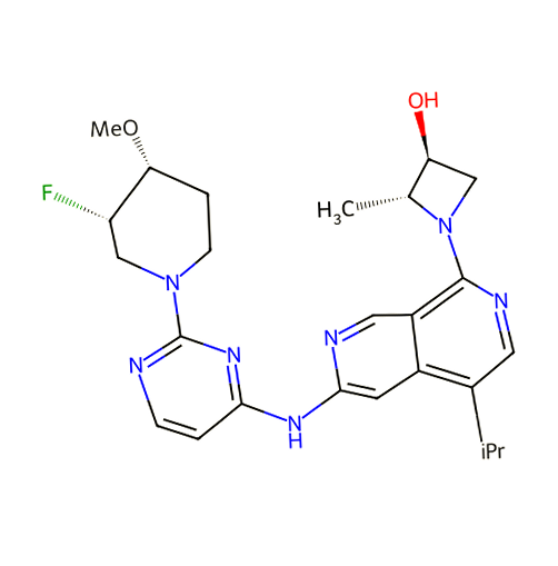 CO[C@@H]1CCN(c2nccc(Nc3cc4c(C(C)C)cnc(N5C[C@H](O)[C@H]5C)c4cn3)n2)C[C@@H]1F